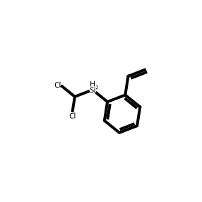 C=Cc1ccccc1[SiH2]C(Cl)Cl